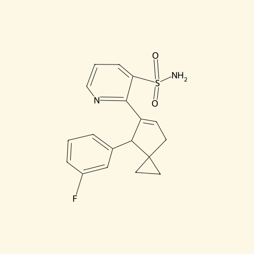 NS(=O)(=O)c1cccnc1C1=CCC2(CC2)C1c1cccc(F)c1